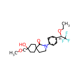 CCO[C@H](c1ccc(N2CCC3(CCC(O)(COC)CC3)C2=O)cc1)C(F)(F)F